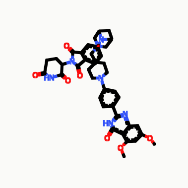 COc1cc(OC)c2c(=O)[nH]c(-c3ccc(N4CCC(CN5CC6CC(C5)N6c5ccc6c(c5)C(=O)N(C5CCC(=O)NC5=O)C6=O)CC4)cc3)nc2c1